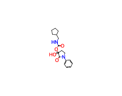 O=C(NCC1CCCC1)O[C@@]1(O)CCN(c2ccccc2)C1=O